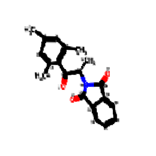 Cc1cc(C)c(C(=O)[C@H](C)N2C(=O)c3ccccc3C2=O)c(C)c1